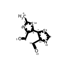 Cc1nc(C=O)c(-c2s[c]nc2C=O)s1